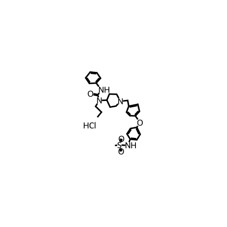 CCCN(C(=O)Nc1ccccc1)C1CCN(Cc2ccc(Oc3ccc(NS(C)(=O)=O)cc3)cc2)CC1.Cl